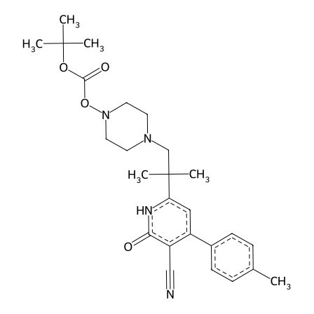 Cc1ccc(-c2cc(C(C)(C)CN3CCN(OC(=O)OC(C)(C)C)CC3)[nH]c(=O)c2C#N)cc1